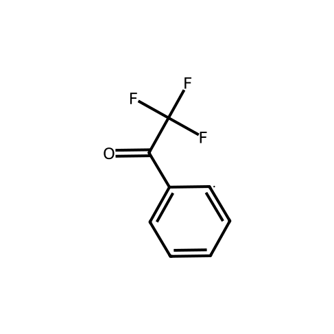 O=C(c1[c]cccc1)C(F)(F)F